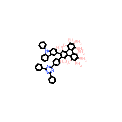 Bc1c(B)c(B)c2c(c1B)c1c(B)c(B)c(B)c(B)c1c1c(B)c(-c3ccc4c(c3)c3ccccc3n4-c3ccccc3)c(-c3ccc(-c4nc(-c5ccccc5)nc(-c5ccccc5)n4)cc3)c(B)c21